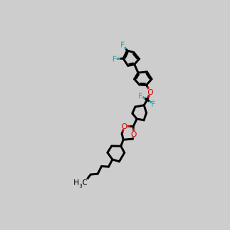 CCCCCC1CCC(C2COC(C3CCC(C(F)(F)Oc4ccc(-c5ccc(F)c(F)c5)cc4)CC3)OC2)CC1